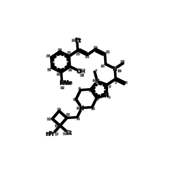 C=C(c1nc2c(n1C)CCN(CC1CCC1(CC)CCC)C2)N(C)C/C=C\C=C(/CC)c1cccc(NC)c1O